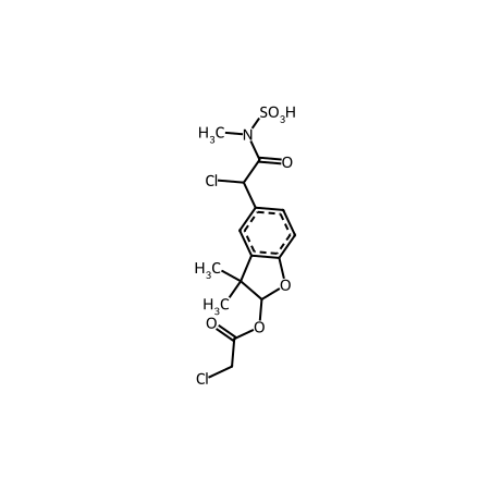 CN(C(=O)C(Cl)c1ccc2c(c1)C(C)(C)C(OC(=O)CCl)O2)S(=O)(=O)O